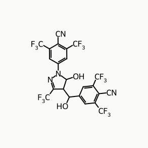 N#Cc1c(C(F)(F)F)cc(C(O)C2C(C(F)(F)F)=NN(c3cc(C(F)(F)F)c(C#N)c(C(F)(F)F)c3)C2O)cc1C(F)(F)F